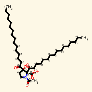 CCCCCCCCCCCCCCCC(=O)C1(O)CCN(C(C)=O)[C@@]1(C(=O)O)C(=O)CCCCCCCCCCCCCCC